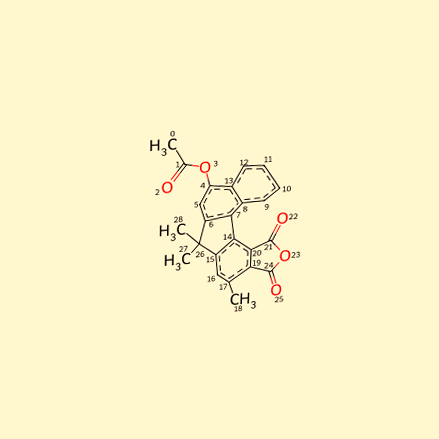 CC(=O)Oc1cc2c(c3ccccc13)-c1c(cc(C)c3c1C(=O)OC3=O)C2(C)C